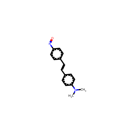 CN(C)c1ccc(C=Cc2ccc(N=O)cc2)cc1